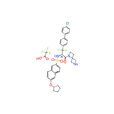 O=C(O)C(F)(F)F.O=C([C@@H](NS(=O)(=O)c1ccc2cc(OC3CCCC3)ccc2c1)C(F)(F)c1ccc(-c2ccc(Cl)cc2)cc1)N1CCC12CNC2